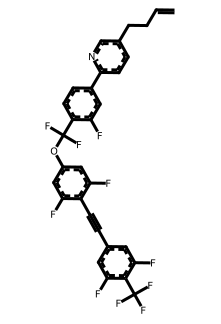 C=CCCc1ccc(-c2ccc(C(F)(F)Oc3cc(F)c(C#Cc4cc(F)c(C(F)(F)F)c(F)c4)c(F)c3)c(F)c2)nc1